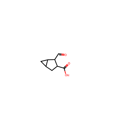 O=CC1C(C(=O)O)CC2CC21